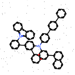 c1ccc(-c2ccc(-c3ccc(N(c4cccc(-c5cccc6ccccc56)c4)c4ccc(-c5ccccc5-n5c6ccccc6c6ccccc65)cc4-c4ccccc4)cc3)cc2)cc1